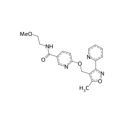 COCCNC(=O)c1ccc(OCc2c(-c3ccccn3)noc2C)nc1